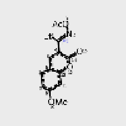 CC/C(=N\OC(C)=O)c1cc2ccc(OC)cc2oc1=O